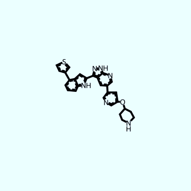 c1cc(-c2ccsc2)c2cc(-c3n[nH]c4ncc(-c5cncc(OC6CCNCC6)c5)cc34)[nH]c2c1